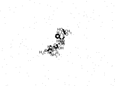 COc1nc(N)nc2c1ncn2[C@@H]1O[C@H](COP(=O)(NCc2ccccc2)OCCSC(=O)C(C)(C)CO)C(O)C1(C)O